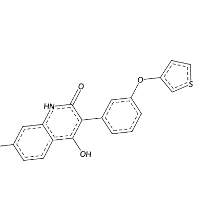 O=c1[nH]c2cc(Cl)ccc2c(O)c1-c1cccc(Oc2ccsc2)c1